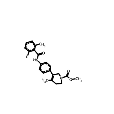 COC(=O)N1CCC(C)=C(c2ccc(NC(=O)c3c(C)cccc3F)cc2)C1